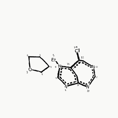 C1CCOC1.CCn1cnc2ncnc(Cl)c21